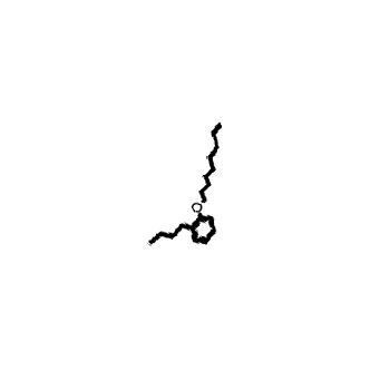 CCCCCCCCCOc1ccccc1CCCC